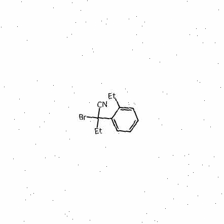 CCc1ccccc1C(Br)(C#N)CC